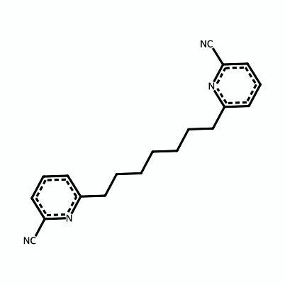 N#Cc1cccc(CCCCCCCc2cccc(C#N)n2)n1